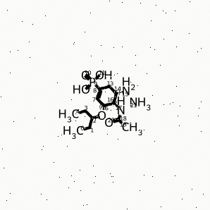 CCC(CC)O[C@@H]1C=C(P(=O)(O)O)C[C@H](N)[C@H]1NC(C)=O.N